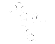 COc1ccccc1N1CCN(CC(N)c2nc3ccccc3s2)CC1.O=C(O)/C=C/C(=O)O.O=C(O)/C=C/C(=O)O